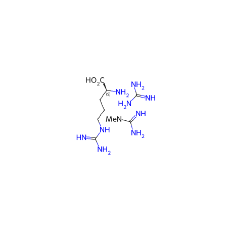 CNC(=N)N.N=C(N)N.N=C(N)NCCC[C@H](N)C(=O)O